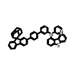 c1cncc(N(c2cccc(-c3ccc(-c4ccc5c(c4)C4(c6ccccc6-5)C5CC6CC(C5)CC4C6)cc3)c2)c2cccc3sc4ccccc4c23)c1